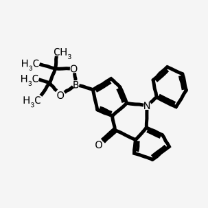 CC1(C)OB(c2ccc3c(c2)c(=O)c2ccccc2n3-c2ccccc2)OC1(C)C